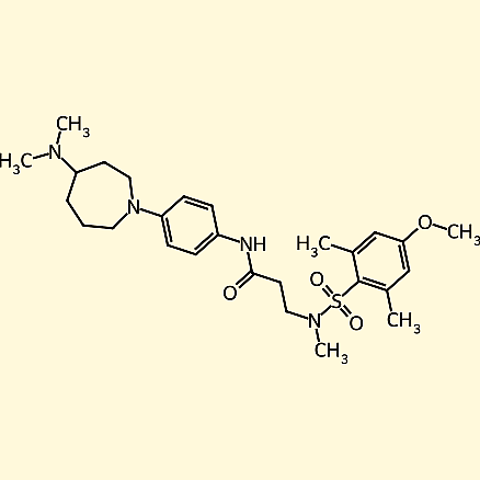 COc1cc(C)c(S(=O)(=O)N(C)CCC(=O)Nc2ccc(N3CCCC(N(C)C)CC3)cc2)c(C)c1